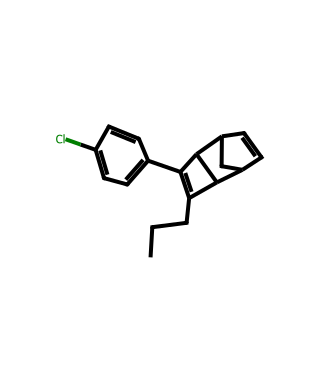 CCCC1=C(c2ccc(Cl)cc2)C2C3C=CC(C3)C12